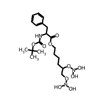 CC(C)(C)OC(=O)NC(Cc1ccccc1)C(=O)OCCCCC(CON(O)O)ON(O)O